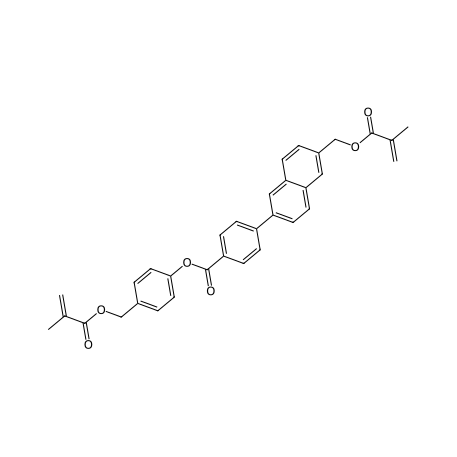 C=C(C)C(=O)OCc1ccc(OC(=O)c2ccc(-c3ccc4cc(COC(=O)C(=C)C)ccc4c3)cc2)cc1